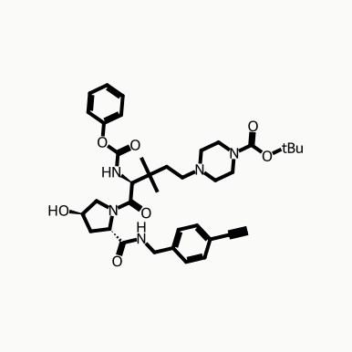 C#Cc1ccc(CNC(=O)[C@@H]2C[C@@H](O)CN2C(=O)[C@@H](NC(=O)Oc2ccccc2)C(C)(C)CCN2CCN(C(=O)OC(C)(C)C)CC2)cc1